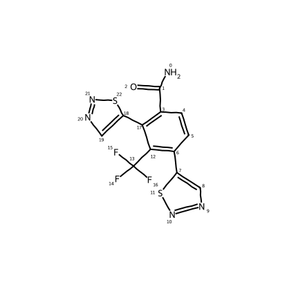 NC(=O)c1ccc(-c2cnns2)c(C(F)(F)F)c1-c1cnns1